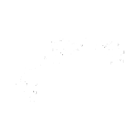 Cn1c(=O)n([C@@H]2CCC(=O)NC2=O)c2ccc(CCCN3C[C@@H]4CCN(c5ccc6cn(C7CCC(CNC(=O)c8cc(F)c(O)c(F)c8F)CC7)nc6c5)C[C@@H]4C3)cc21.O=CO